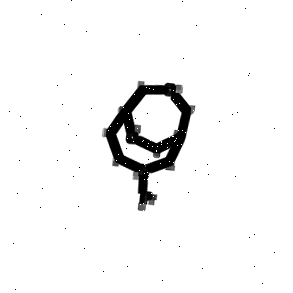 CC(C)N1CCC2COCC(CO2)C1